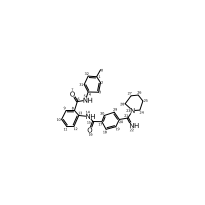 Cc1ccc(NC(=O)c2ccccc2NC(=O)c2ccc(C(=N)N3CCCCC3)cc2)cc1